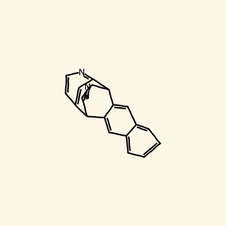 c1ccc2cc3c(cc2c1)C1c2cc(ccn2)C3c2ncncc21